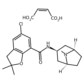 CN1[C@@H]2CC[C@H]1C[C@@H](NC(=O)c1cc(Cl)cc3c1OC(C)(C)C3)C2.O=C(O)/C=C\C(=O)O